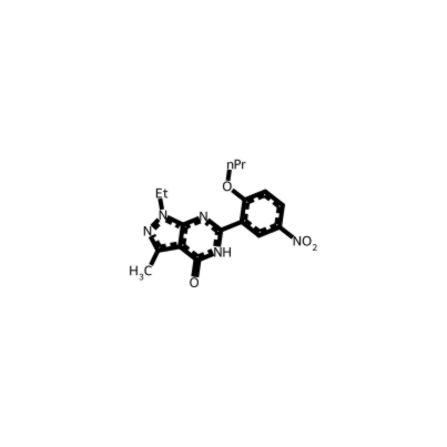 CCCOc1ccc([N+](=O)[O-])cc1-c1nc2c(c(C)nn2CC)c(=O)[nH]1